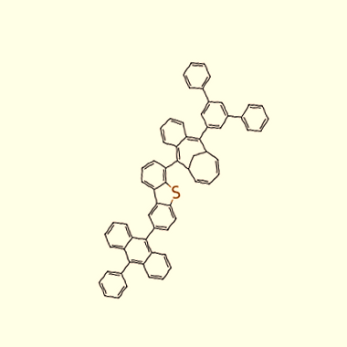 C1=CC2CC(C=C1)C(c1cccc3c1sc1ccc(-c4c5ccccc5c(-c5ccccc5)c5ccccc45)cc13)=c1ccccc1=C2c1cc(-c2ccccc2)cc(-c2ccccc2)c1